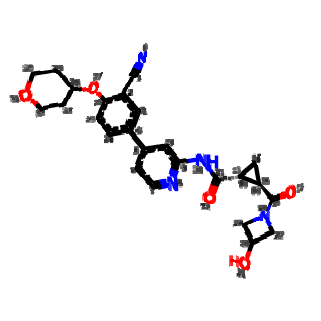 N#Cc1cc(-c2ccnc(NC(=O)[C@@H]3C[C@H]3C(=O)N3CC(O)C3)c2)ccc1OC1CCOCC1